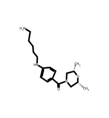 C[C@@H]1CN(C(=O)c2ccc(NCCCCCN)cc2)C[C@H](C)O1